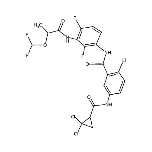 CC(OC(F)F)C(=O)Nc1c(F)ccc(NC(=O)c2cc(NC(=O)C3CC3(Cl)Cl)ccc2Cl)c1F